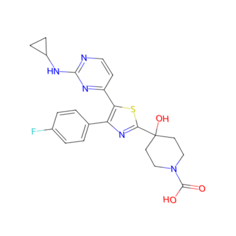 O=C(O)N1CCC(O)(c2nc(-c3ccc(F)cc3)c(-c3ccnc(NC4CC4)n3)s2)CC1